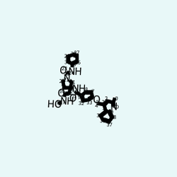 Cc1cc(COc2ccc(C(=O)NC3(CC(=O)NO)CCN(C(=O)Nc4ccccc4)C3)cc2)c2ccccc2n1